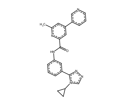 Cc1cc(-c2cccnc2)cc(C(=O)Nc2cccc(-c3nncn3C3CC3)c2)n1